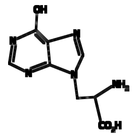 NC(Cn1cnc2c(O)ncnc21)C(=O)O